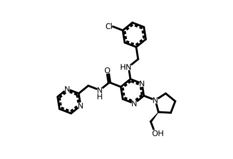 O=C(NCc1ncccn1)c1cnc(N2CCC[C@H]2CO)nc1NCc1cccc(Cl)c1